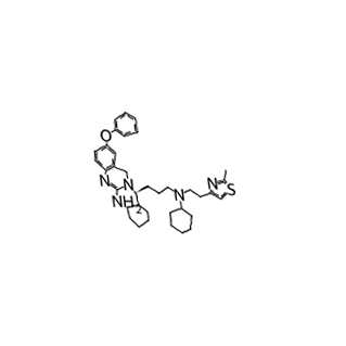 Cc1nc(CCN(CCC[C@@H](C2CCCCC2)N2Cc3cc(Oc4ccccc4)ccc3N=C2N)C2CCCCC2)cs1